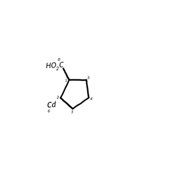 O=C(O)C1CCCC1.[Cd]